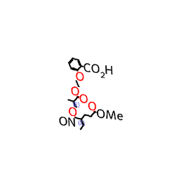 C/C=C(/CCC(=O)OC)C(N=O)O/C=C(\C)C(=O)OCCOc1ccccc1C(=O)O